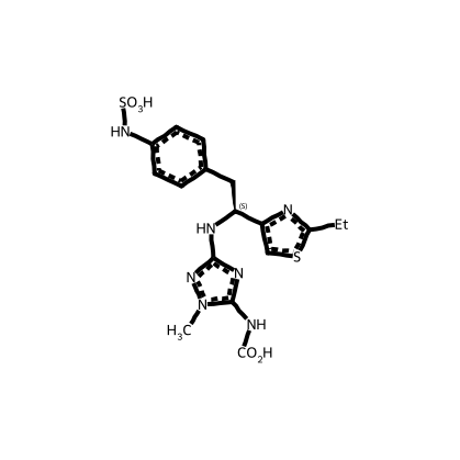 CCc1nc([C@H](Cc2ccc(NS(=O)(=O)O)cc2)Nc2nc(NC(=O)O)n(C)n2)cs1